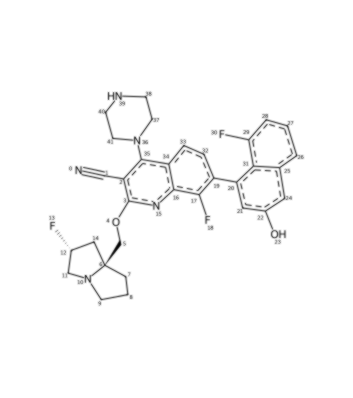 N#Cc1c(OC[C@@]23CCCN2C[C@H](F)C3)nc2c(F)c(-c3cc(O)cc4cccc(F)c34)ccc2c1N1CCNCC1